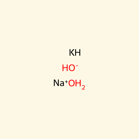 O.[KH].[Na+].[OH-]